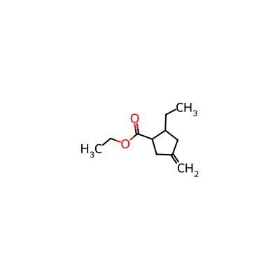 C=C1CC(CC)C(C(=O)OCC)C1